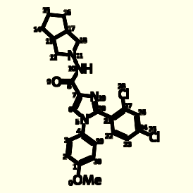 COc1ccc(-n2cc(C(=O)NN3CC4CCCC4C3)nc2-c2ccc(Cl)cc2Cl)cc1